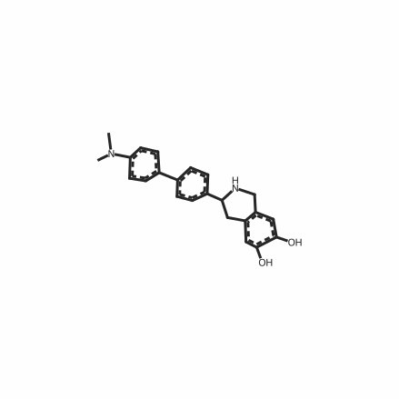 CN(C)c1ccc(-c2ccc(C3Cc4cc(O)c(O)cc4CN3)cc2)cc1